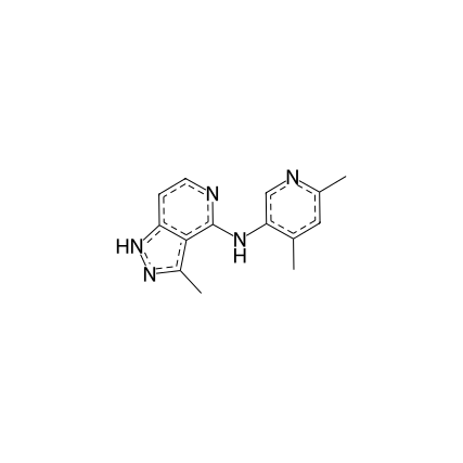 Cc1cc(C)c(Nc2nccc3[nH]nc(C)c23)cn1